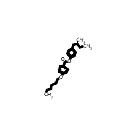 CCCCCCOc1ccc(C(=O)Oc2ccc(C[C@@H](C)CC)cc2)cc1